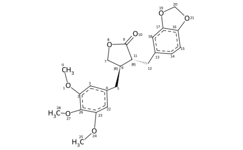 COc1cc(C[C@H]2COC(=O)[C@@H]2Cc2ccc3c(c2)OCO3)cc(OC)c1OC